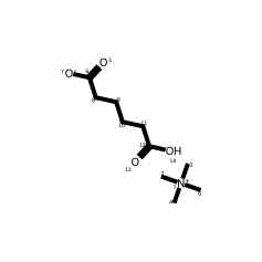 C[N+](C)(C)C.O=C([O-])CCCCC(=O)O